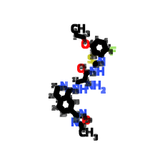 CCCOc1ccc(F)c2nc(NC(=O)[C@H](N)CNc3nccc4ccc(-c5noc(C)n5)cc34)sc12